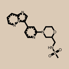 CS(=O)(=O)NCC1CN(c2cc(-c3cnc4cccnn34)ccn2)CCO1